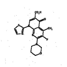 Cc1c(F)c(N2CCCOC2)nc2c1c(=O)c(C(=O)O)cn2-c1nccs1